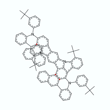 CC(C)(C)c1cccc(N(c2ccccc2-c2ccc3ccccc3c2)c2ccc3c4cc5c(cc4n4c6c(C(C)(C)C)cccc6c2c34)c2ccc(N(c3cccc(C(C)(C)C)c3)c3ccccc3-c3ccc4ccccc4c3)c3c4cccc(C(C)(C)C)c4n5c23)c1